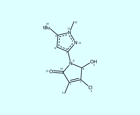 CC1=C(Cl)C(O)N(c2cc(C(C)(C)C)n(C)n2)C1=O